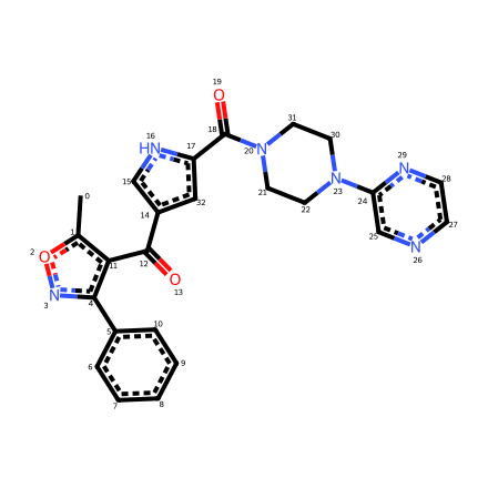 Cc1onc(-c2ccccc2)c1C(=O)c1c[nH]c(C(=O)N2CCN(c3cnccn3)CC2)c1